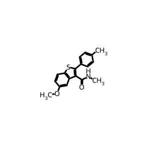 CNC(=O)c1c(-c2ccc(C)cc2)sc2ccc(OC)cc12